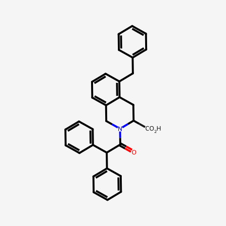 O=C(O)C1Cc2c(Cc3ccccc3)cccc2CN1C(=O)C(c1ccccc1)c1ccccc1